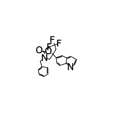 O=C1OC(CC(F)(F)F)(c2ccc3ncccc3c2)CN1Cc1ccccc1